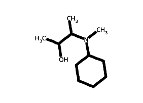 CC(O)C(C)N(C)C1CCCCC1